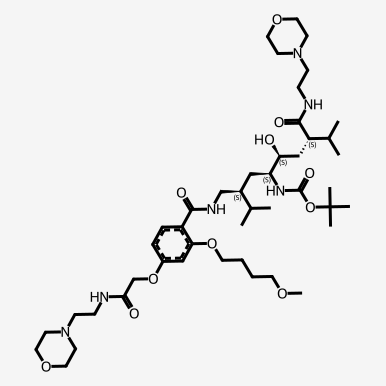 COCCCCOc1cc(OCC(=O)NCCN2CCOCC2)ccc1C(=O)NC[C@@H](C[C@H](NC(=O)OC(C)(C)C)[C@@H](O)C[C@H](C(=O)NCCN1CCOCC1)C(C)C)C(C)C